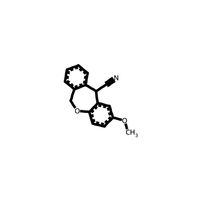 COc1ccc2c(c1)C(C#N)c1ccccc1CO2